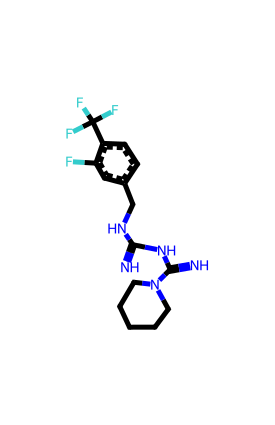 N=C(NCc1ccc(C(F)(F)F)c(F)c1)NC(=N)N1CCCCC1